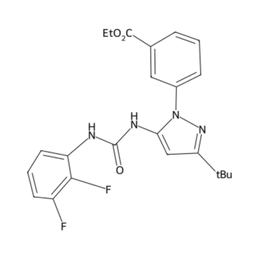 CCOC(=O)c1cccc(-n2nc(C(C)(C)C)cc2NC(=O)Nc2cccc(F)c2F)c1